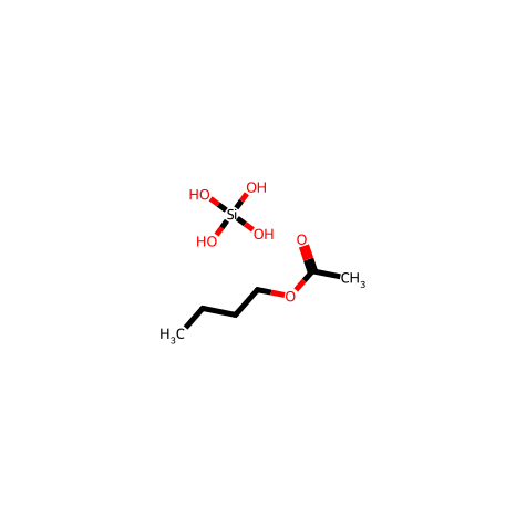 CCCCOC(C)=O.O[Si](O)(O)O